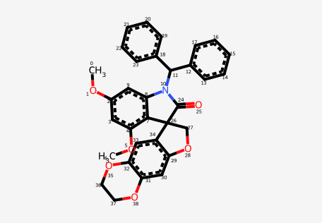 COc1cc(OC)c2c(c1)N(C(c1ccccc1)c1ccccc1)C(=O)C21COc2cc3c(cc21)OCCO3